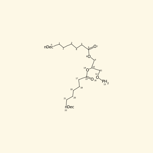 CCCCCCCCCCCCCCCC(=O)OCC(COP)OC(=O)CCCCCCCCCCCCCCC